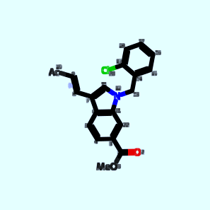 COC(=O)c1ccc2c(/C=C/C(C)=O)cn(Cc3ccccc3Cl)c2c1